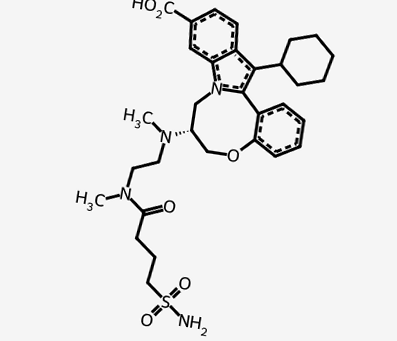 CN(CCN(C)[C@H]1COc2ccccc2-c2c(C3CCCCC3)c3ccc(C(=O)O)cc3n2C1)C(=O)CCCS(N)(=O)=O